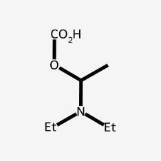 CCN(CC)C(C)OC(=O)O